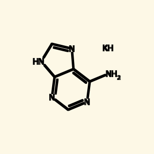 Nc1ncnc2[nH]cnc12.[KH]